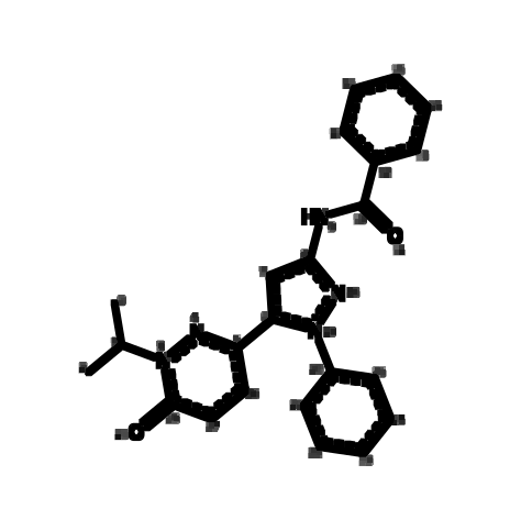 CC(C)n1nc(-c2cc(NC(=O)c3ccccc3)nn2-c2ccccc2)ccc1=O